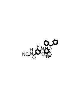 CCc1cc(C(=O)NCC#N)cc(F)c1N(C)c1cc2c(ncn2C)c(N=C(c2ccccc2)c2ccccc2)n1